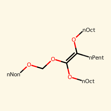 CCCCCCCCCOCOC(OCCCCCCCC)=C(CCCCC)OCCCCCCCC